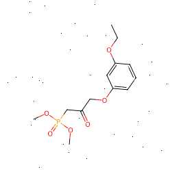 CCOc1cccc(OCC(=O)CP(=O)(OC)OC)c1